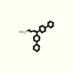 O=C(O)C=CC=C(c1ccc(-c2ccccc2)cc1)c1ccc(-c2ccccc2)cc1